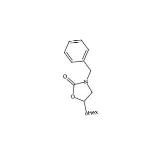 CCCCCCC1CN(Cc2ccccc2)C(=O)O1